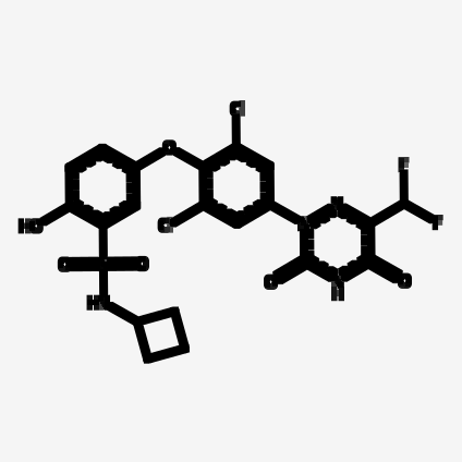 O=c1[nH]c(=O)n(-c2cc(Cl)c(Oc3ccc(O)c(S(=O)(=O)NC4CCC4)c3)c(Cl)c2)nc1C(F)F